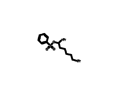 CCCC(CCCCCC(C)C)OS(=O)(=O)c1ccccc1